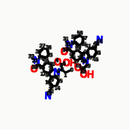 CCC(C(=O)O)n1c2c(c3cc(C#N)ccc31)CC(C(=O)N(C)c1ccccc1)CC2.CN(C(=O)C1CCc2c(c3cc(C#N)ccc3n2CC(=O)O)C1)c1ccccc1